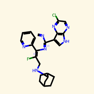 C=N/C(=N\C(=C(\F)CNC1CC2CCC1CC2)c1ccccn1)c1c[nH]c2ncc(Cl)nc12